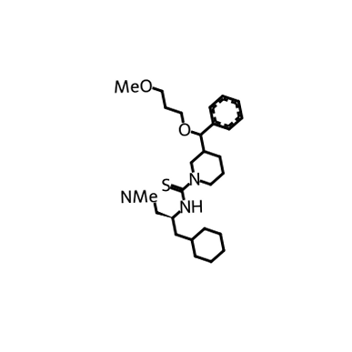 CNC[C@H](CC1CCCCC1)NC(=S)N1CCCC(C(OCCCOC)c2ccccc2)C1